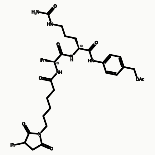 CC(=O)OCc1ccc(NC(=O)[C@H](CCCNC(N)=O)NC(=O)[C@@H](NC(=O)CCCCCN2C(=O)CC(C(C)C)C2=O)C(C)C)cc1